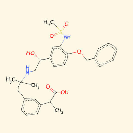 CC(C(=O)O)c1cccc(CC(C)(C)NC[C@H](O)c2ccc(OCc3ccccc3)c(NS(C)(=O)=O)c2)c1